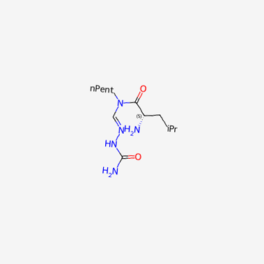 CCCCCN(C=NNC(N)=O)C(=O)[C@@H](N)CC(C)C